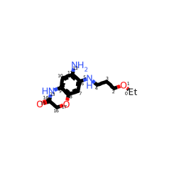 CCOCCCNc1cc2c(cc1N)NC(=O)CO2